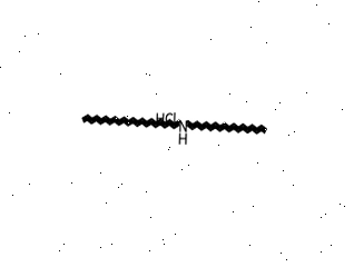 CCCCCCCCCCCCCCCCCCCCCCNCCCCCCCCCCCCCCCCCC.Cl